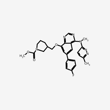 COC(=O)N1CCCC(COc2cc(-c3ccc(F)cc3)cc3c(N(C)c4ccc(C)nn4)ncnc23)C1